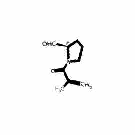 C=C(C)C(=O)N1CCC[C@@H]1C=O